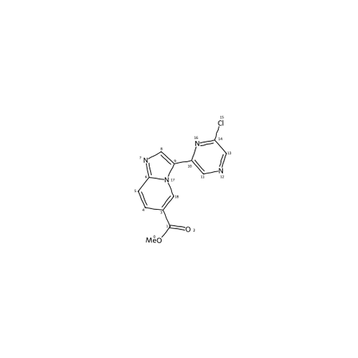 COC(=O)c1ccc2ncc(-c3cncc(Cl)n3)n2c1